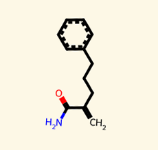 C=C(CCCc1ccccc1)C(N)=O